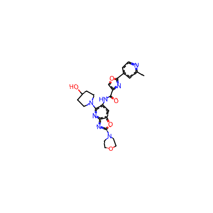 Cc1cc(-c2nc(C(=O)Nc3cc4oc(N5CCOCC5)nc4nc3N3CCC(O)CC3)co2)ccn1